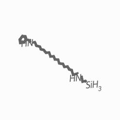 [SiH3]CCCNCCCCCCCCCCCCCCCCCCCNCc1ccccc1